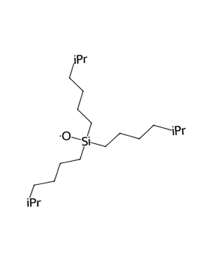 CC(C)CCCC[Si]([O])(CCCCC(C)C)CCCCC(C)C